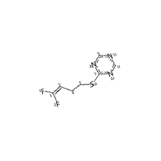 FC(F)=CCCSc1ncncn1